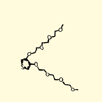 COCCOCCOCCOc1cscc1OCCOCCOCCOC